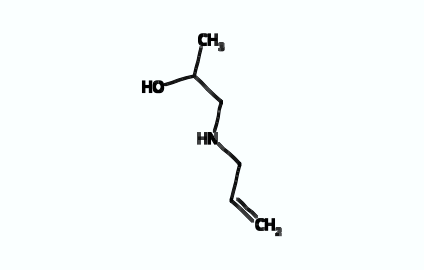 C=CCNCC(C)O